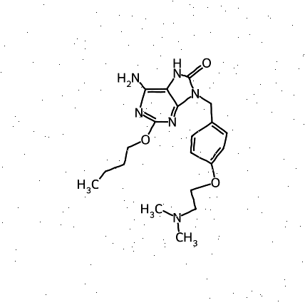 CCCCOc1nc(N)c2[nH]c(=O)n(Cc3ccc(OCCN(C)C)cc3)c2n1